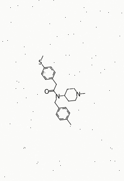 CSc1ccc(CC(=O)N(Cc2ccc(C)cc2)C2CCN(C)CC2)cc1